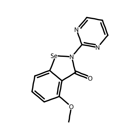 COc1cccc2[se]n(-c3ncccn3)c(=O)c12